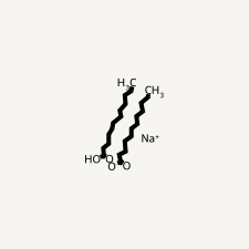 CCCCCCCCCCCC(=O)O.CCCCCCCCCCCC(=O)[O-].[Na+]